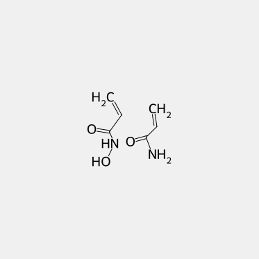 C=CC(=O)NO.C=CC(N)=O